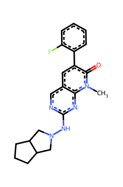 Cn1c(=O)c(-c2ccccc2F)cc2cnc(NN3CC4CCCC4C3)nc21